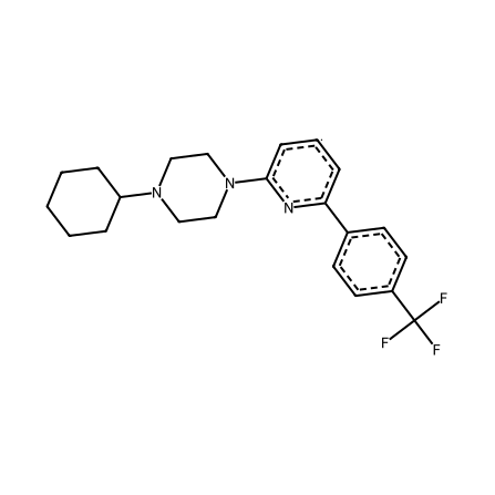 FC(F)(F)c1ccc(-c2c[c]cc(N3CCN(C4CCCCC4)CC3)n2)cc1